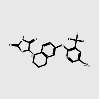 Cc1cnc(Oc2ccc3c(c2)CCC[C@H]3C2SC(=O)NC2=O)c(C(F)(F)F)c1